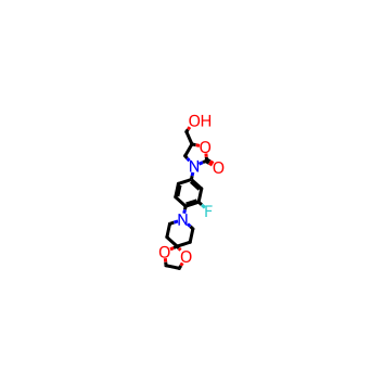 O=C1OC(CO)CN1c1ccc(N2CCC3(CC2)OCCO3)c(F)c1